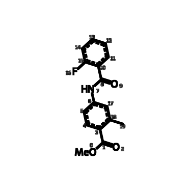 COC(=O)c1ccc(NC(=O)c2ccccc2F)cc1C